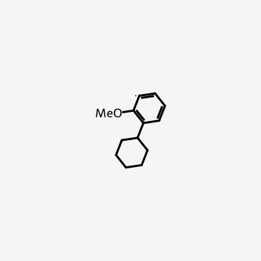 COc1[c]cccc1C1CCCCC1